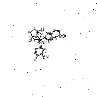 Cc1ccc(NC2C[C@H]3CC[C@@H](C2)N3C(=O)c2cn3cc(Br)ccc3n2)cc1C#N